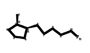 C[C@@H]1CCC[C@@H]1CCCCCF